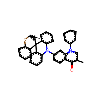 Cc1cn(-c2ccccc2)c2cc(N3c4ccccc4C4(c5ccccc5Sc5ccccc54)c4ccccc43)ccc2c1=O